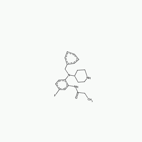 CCC(=O)Nc1cc(F)ccc1N(Cc1ccccc1)C1CCNCC1